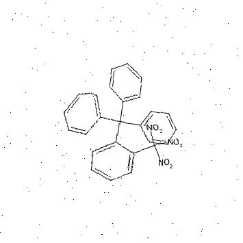 O=[N+]([O-])C(c1ccccc1C(c1ccccc1)(c1ccccc1)c1ccccc1)([N+](=O)[O-])[N+](=O)[O-]